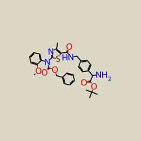 COc1ccccc1N(C(=O)OCc1ccccc1)c1nc(C)c(C(=O)NCc2ccc(C(N)C(=O)OC(C)(C)C)cc2)s1